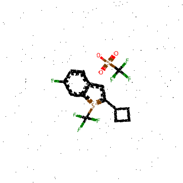 Fc1ccc2cc(C3CCC3)[s+](C(F)(F)F)c2c1.O=S(=O)([O-])C(F)(F)F